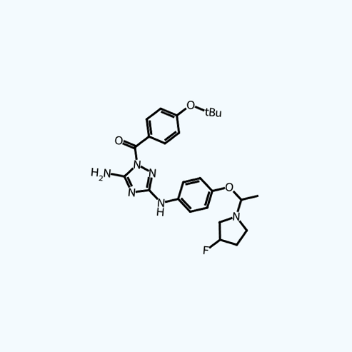 CC(Oc1ccc(Nc2nc(N)n(C(=O)c3ccc(OC(C)(C)C)cc3)n2)cc1)N1CCC(F)C1